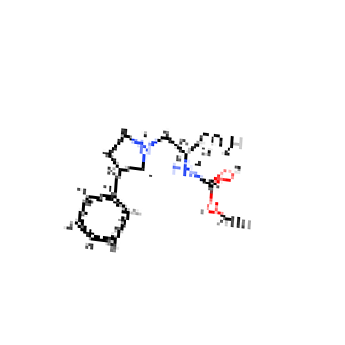 CC(C)(C)OC(=O)N[C@@H](CN1CCC(c2ccccc2)C1)C(=O)O